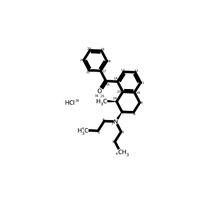 CCCN(CCC)[C@@H]1CCc2cccc(C(=O)c3ccccc3)c2[C@@H]1C.Cl